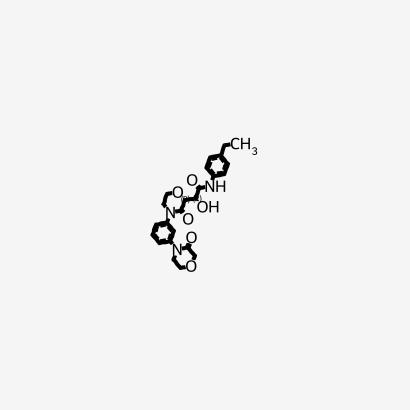 CCc1ccc(NC(=O)[C@H](O)[C@H]2OCCN(c3cccc(N4CCOCC4=O)c3)C2=O)cc1